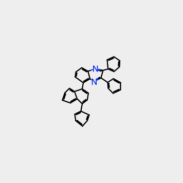 c1ccc(-c2nc3cccc(-c4ccc(-c5ccccc5)c5ccccc45)c3nc2-c2ccccc2)cc1